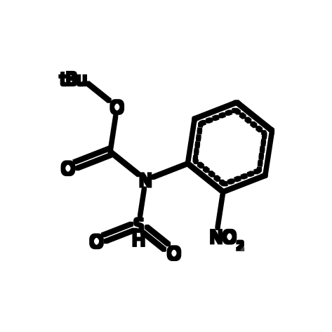 CC(C)(C)OC(=O)N(c1ccccc1[N+](=O)[O-])[SH](=O)=O